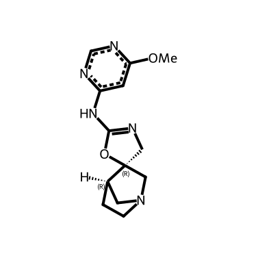 COc1cc(NC2=NC[C@@]3(CN4CC[C@@H]3C4)O2)ncn1